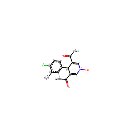 COC(=O)C1=CN(O)C=C(C(=O)OC)C1c1ccc(Cl)c([N+](=O)[O-])c1